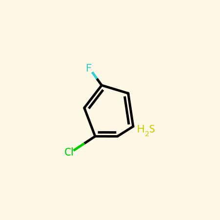 Fc1cccc(Cl)c1.S